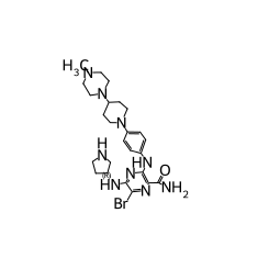 CN1CCN(C2CCN(c3ccc(Nc4nc(N[C@@H]5CCNC5)c(Br)nc4C(N)=O)cc3)CC2)CC1